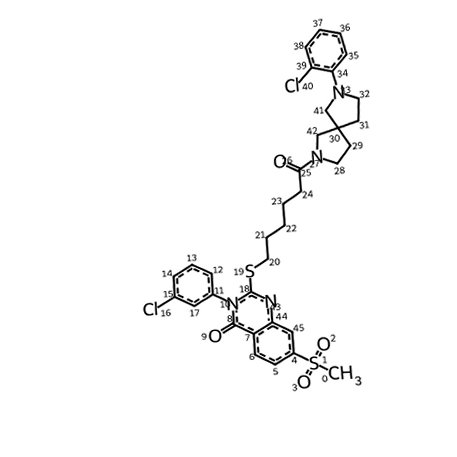 CS(=O)(=O)c1ccc2c(=O)n(-c3cccc(Cl)c3)c(SCCCCCC(=O)N3CCC4(CCN(c5ccccc5Cl)C4)C3)nc2c1